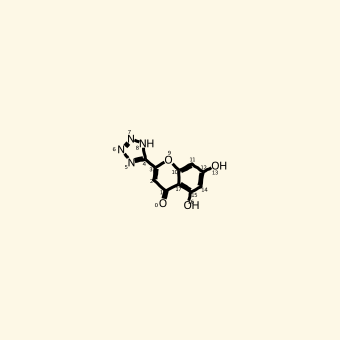 O=c1cc(-c2nnn[nH]2)oc2cc(O)cc(O)c12